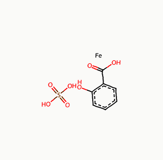 O=C(O)c1ccccc1O.O=S(=O)(O)O.[Fe]